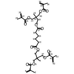 C=C(C)C(=O)OCC(C)(COC(=O)CCCCC(=O)OCC(C)(COC(=O)C(=C)C)COC(=O)C(=C)C)COC(=O)C(=C)C